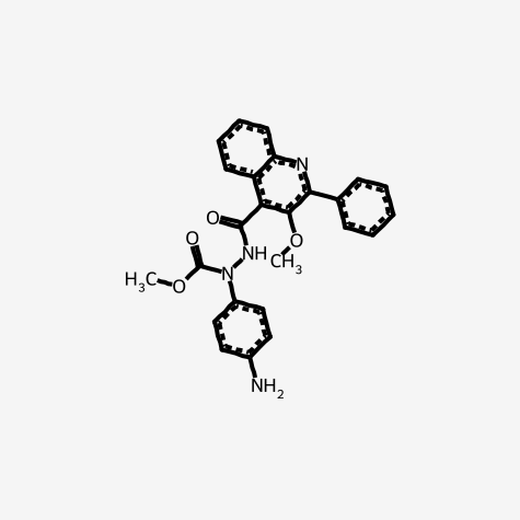 COC(=O)N(NC(=O)c1c(OC)c(-c2ccccc2)nc2ccccc12)c1ccc(N)cc1